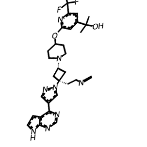 C=NCC[C@]1(n2cc(-c3ncnc4[nH]ccc34)cn2)C[C@H](N2CCC(Oc3cc(C(C)(C)O)cc(C(F)(F)F)n3)CC2)C1